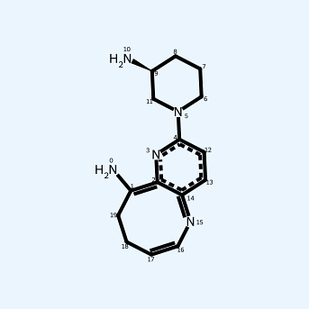 N\C1=c2/nc(N3CCC[C@H](N)C3)cc/c2=N/C=C\CC1